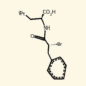 CC(C)C[C@H](NC(=O)[C@H](Br)Cc1ccccc1)C(=O)O